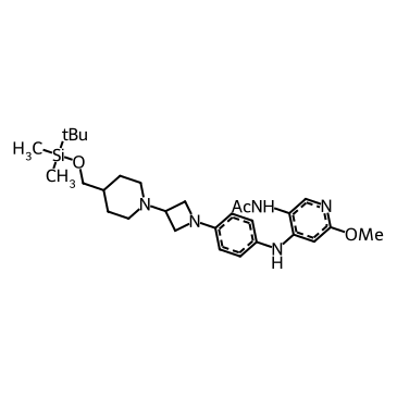 COc1cc(Nc2ccc(N3CC(N4CCC(CO[Si](C)(C)C(C)(C)C)CC4)C3)cc2)c(NC(C)=O)cn1